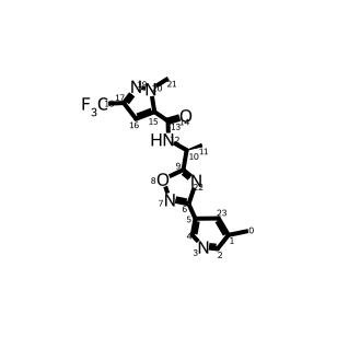 Cc1cncc(-c2noc([C@H](C)NC(=O)c3cc(C(F)(F)F)nn3C)n2)c1